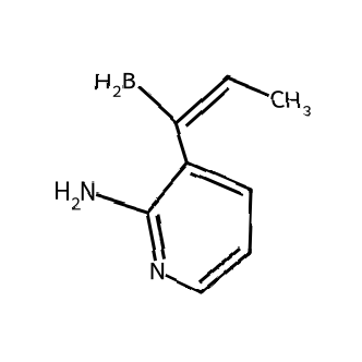 B/C(=C/C)c1cccnc1N